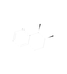 C[C@@H]1c2ncccc2CC[C@@H]1C